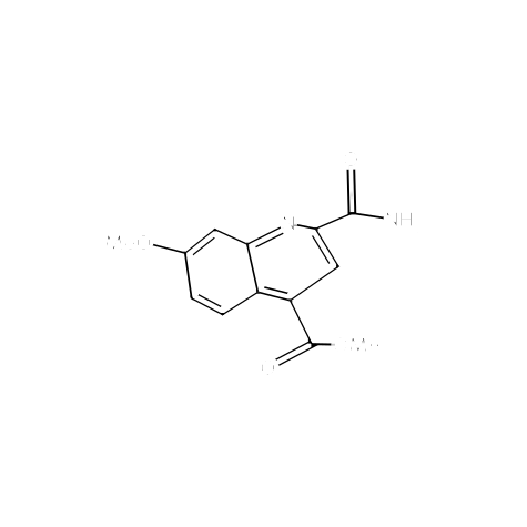 COC(=O)c1cc(C(N)=O)nc2cc(OC)ccc12